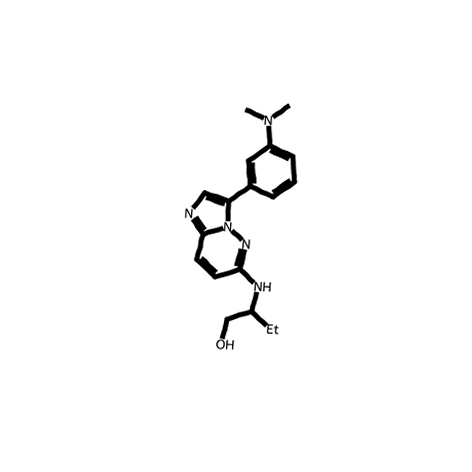 CCC(CO)Nc1ccc2ncc(-c3cccc(N(C)C)c3)n2n1